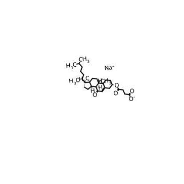 CC(C)CCC[C@@H](C)[C@H]1CC[C@H]2[C@@H]3C(=O)C=C4C[C@@H](OC(=O)CCC(=O)[O-])CC[C@]4(C)[C@H]3CC[C@]12C.[Na+]